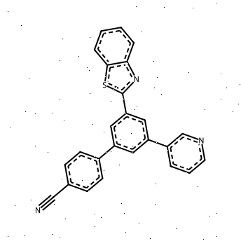 N#Cc1ccc(-c2cc(-c3cccnc3)cc(-c3nc4ccccc4s3)c2)cc1